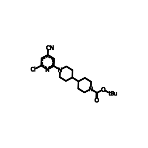 CC(C)(C)OC(=O)N1CCC(C2CCN(c3cc(C#N)cc(Cl)n3)CC2)CC1